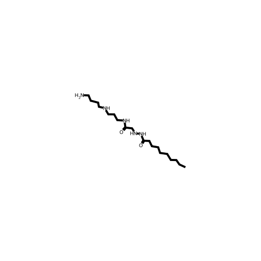 CCCCCCCCCC(=O)NNCC(=O)NCCCNCCCCN